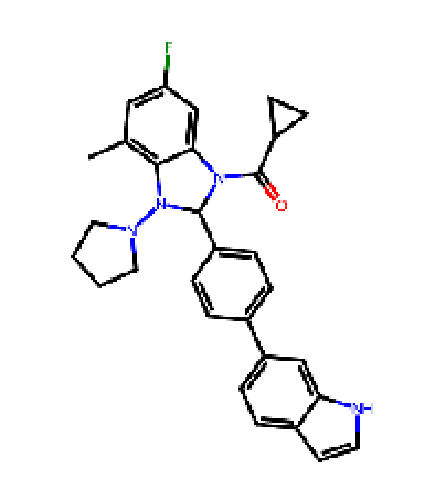 Cc1cc(F)cc2c1N(N1CCCC1)C(c1ccc(-c3ccc4cc[nH]c4c3)cc1)N2C(=O)C1CC1